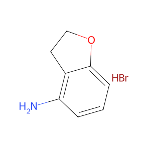 Br.Nc1cccc2c1CCO2